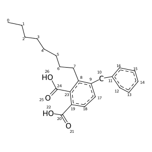 CCCCCCCCc1c(Cc2ccccc2)ccc(C(=O)O)c1C(=O)O